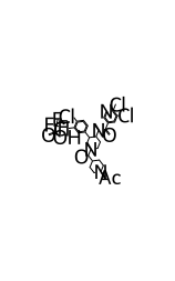 CC(=O)N1CCC(C(=O)N2CCC(N(C)C(=O)c3cnc(Cl)c(Cl)c3)C(c3ccc(Cl)c(Cl)c3)C2)CC1.O=C(O)C(F)(F)F